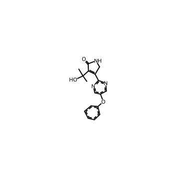 CC(C)(O)C1=C(c2ncc(Oc3ccccc3)cn2)CNC1=O